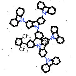 N#Cc1ccc(-n2c3ccc(-n4c5ccccc5c5ccccc54)cc3c3cc(-n4c5ccccc5c5ccccc54)ccc32)cc1-c1cc(-c2c(C(F)(F)F)cccc2C(F)(F)F)ccc1-n1c2ccc(-n3c4ccccc4c4ccccc43)cc2c2cc(-n3c4ccccc4c4ccccc43)ccc21